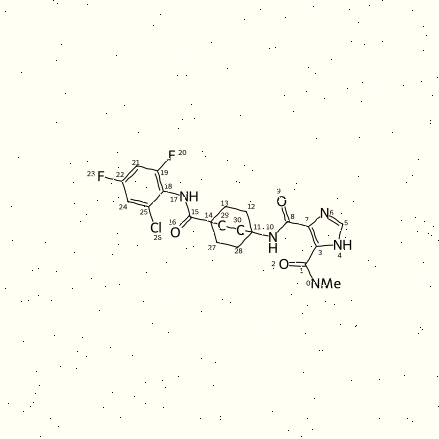 CNC(=O)c1[nH]cnc1C(=O)NC12CCC(C(=O)Nc3c(F)cc(F)cc3Cl)(CC1)CC2